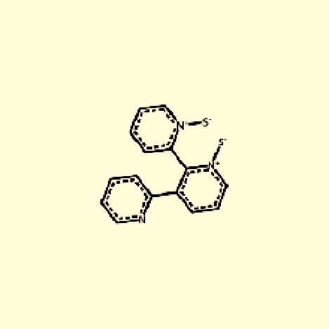 [S-][n+]1ccccc1-c1c(-c2ccccn2)ccc[n+]1[S-]